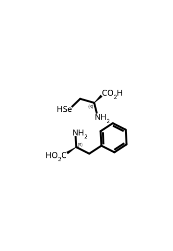 N[C@@H](C[SeH])C(=O)O.N[C@@H](Cc1ccccc1)C(=O)O